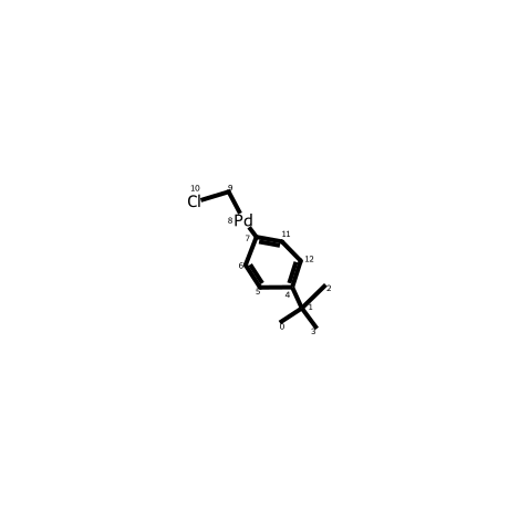 CC(C)(C)c1cc[c]([Pd][CH2]Cl)cc1